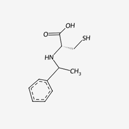 CC(N[C@@H](CS)C(=O)O)c1ccccc1